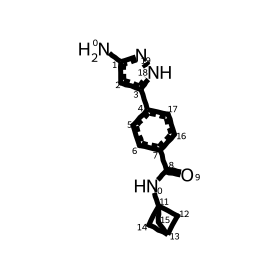 Nc1cc(-c2ccc(C(=O)NC34CC(C3)C4)cc2)[nH]n1